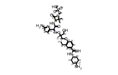 CC1(C)[C@H](NC(=O)/C(=N\O[C@](C)(CO)[C@H]2CCc3cc(C(=N)N[C@H]4CC[C@](C)(N)CC4)ccc3O2)c2csc(N)n2)C(=O)N1OS(=O)(=O)O